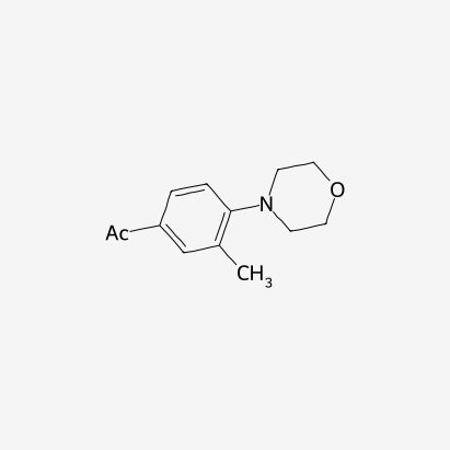 CC(=O)c1ccc(N2CCOCC2)c(C)c1